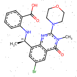 C[C@@H](Nc1ccccc1C(=O)O)c1cc(Br)cc2c(=O)n(C)c(N3CCOCC3)nc12